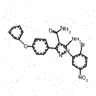 NC(=O)c1c(-c2ccc(Oc3ccccc3)cc2)nn(-c2cc([N+](=O)[O-])ccc2Br)c1N